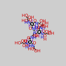 O=C(NCCN(CC(O)CNC(=O)c1c(I)c(NC(=O)C(O)C(O)CO)c(I)c(C(=O)NCC(O)CO)c1I)C(=O)c1c(I)c(NC(=O)C(O)C(O)CO)c(I)c(C(=O)NCC(O)CO)c1I)c1c(I)c(NC(=O)C(O)C(O)CO)c(I)c(C(=O)NCC(O)CO)c1I